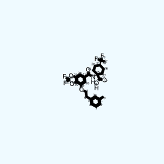 Cc1cccc(CCOc2cc(C(=O)N[C@]3(C(=O)O)CC[C@@H](C(F)(F)F)CC3)cc3c2OC(F)(F)O3)c1